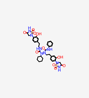 O=C1CN(c2ccc(CCNC(=O)N(C3CCCCC3)N(CCc3ccc(N4CC(=O)NS4(=O)=O)c(O)c3)C(=O)Nc3ccccc3)cc2O)S(=O)(=O)N1